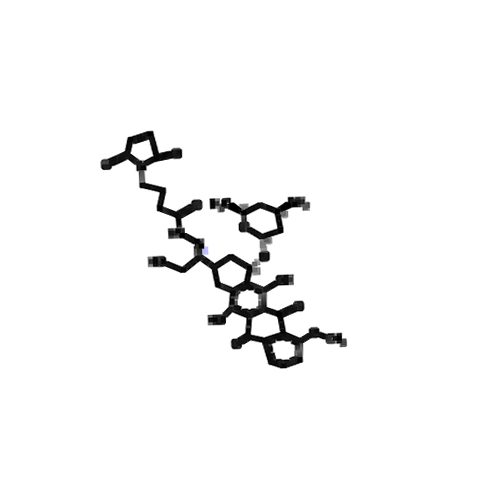 COc1cccc2c1C(=O)c1c(O)c3c(c(O)c1C2=O)CC(/C(CO)=N/NC(=O)CCCN1C(=O)C=CC1=O)C[C@@H]3O[C@H]1C[C@H](N)C[C@H](C)O1